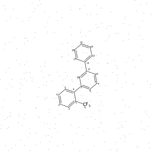 FC(F)(F)c1ccccc1-c1cccc(-c2ccccc2)c1